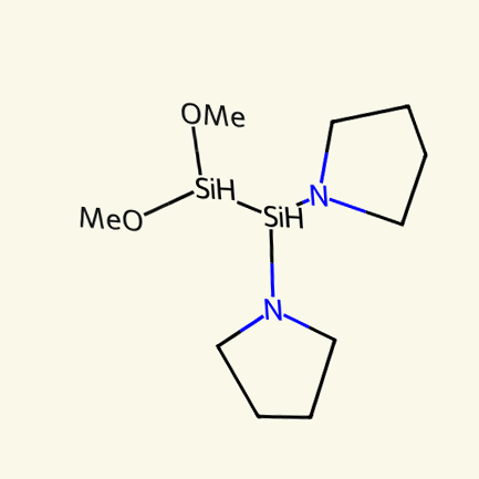 CO[SiH](OC)[SiH](N1CCCC1)N1CCCC1